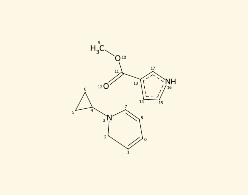 C1=CCN(C2CC2)C=C1.COC(=O)c1cc[nH]c1